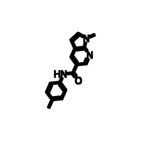 Cc1ccc(NC(=O)c2cnc3c(ccn3C)c2)cc1